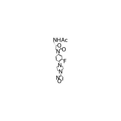 CC(=O)NC[C@H]1CN(c2ccc(N3CCN(c4ccon4)CC3)c(F)c2)C(=O)O1